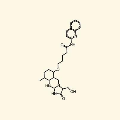 CC1CCC(OCCCCC(=O)Nc2ccc3ccccc3n2)C2CN3C(NC(=O)C3CO)NC12